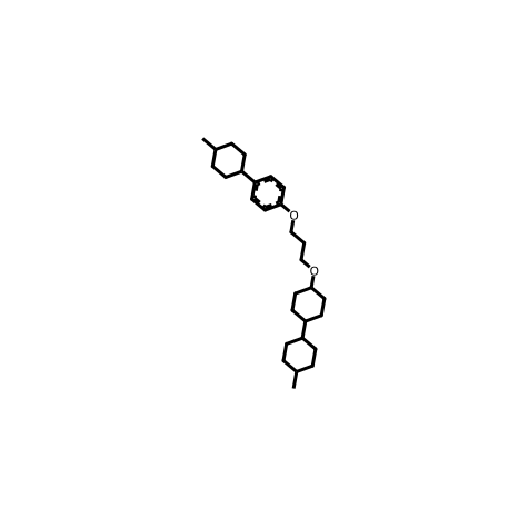 CC1CCC(c2ccc(OCCCOC3CCC(C4CCC(C)CC4)CC3)cc2)CC1